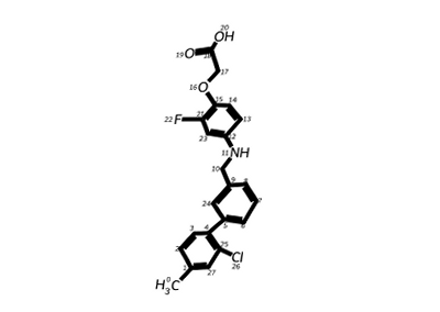 Cc1ccc(-c2cccc(CNc3ccc(OCC(=O)O)c(F)c3)c2)c(Cl)c1